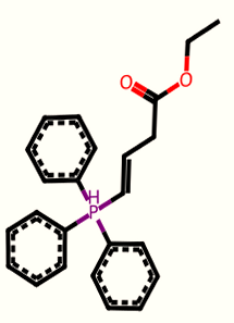 CCOC(=O)CC=C[PH](c1ccccc1)(c1ccccc1)c1ccccc1